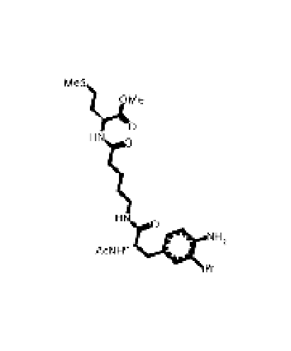 COC(=O)[C@H](CCSC)NC(=O)CCCCNC(=O)[C@H](Cc1ccc(N)c(C(C)C)c1)NC(C)=O